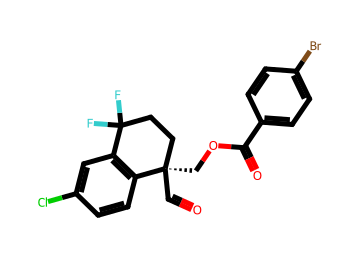 O=C[C@]1(COC(=O)c2ccc(Br)cc2)CCC(F)(F)c2cc(Cl)ccc21